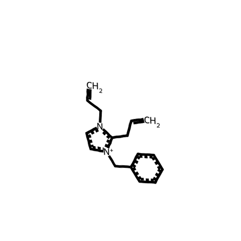 C=CCc1n(CC=C)cc[n+]1Cc1ccccc1